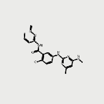 C=N/N=C(\C=C/C)NC(=O)c1cc(Nc2nc(C)cc(NC)n2)ccc1Cl